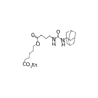 CCOC(=O)CCCCCOC(=O)CCCNC(=O)NC12CC3CC(CC(C3)C1)C2